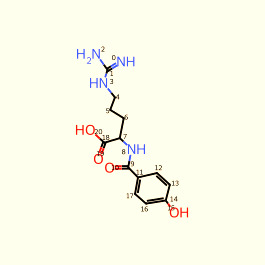 N=C(N)NCCCC(NC(=O)c1ccc(O)cc1)C(=O)O